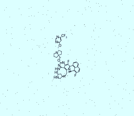 C#Cc1c(F)ccc2cccc(-c3nc4c5c(nc(OC[C@@]67CCCN6[C@H](COc6cc(C(F)(F)F)ncn6)CC7)nc5c3F)NC[C@H]3C[C@H](CC4)[C@H](C)N3)c12